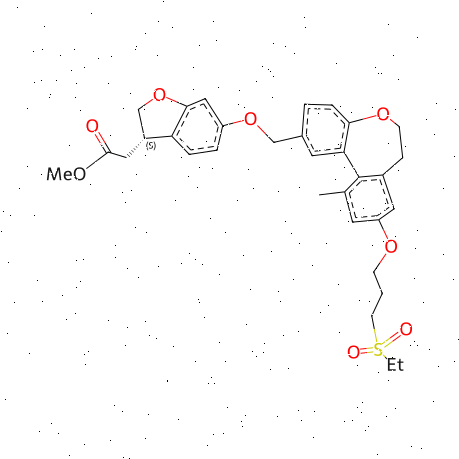 CCS(=O)(=O)CCCOc1cc(C)c2c(c1)CCOc1ccc(COc3ccc4c(c3)OC[C@H]4CC(=O)OC)cc1-2